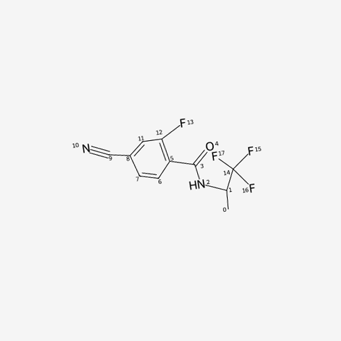 CC(NC(=O)c1ccc(C#N)cc1F)C(F)(F)F